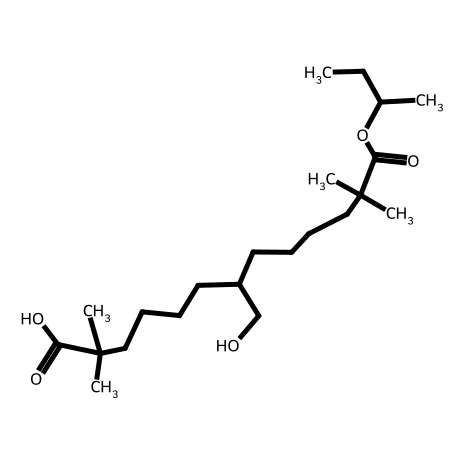 CCC(C)OC(=O)C(C)(C)CCCCC(CO)CCCCC(C)(C)C(=O)O